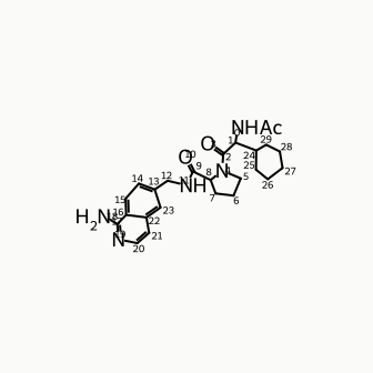 CC(=O)NC(C(=O)N1CCCC1C(=O)NCc1ccc2c(N)nccc2c1)C1CCCCC1